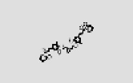 COc1cc(/C=C/C(=O)N2CCC=CC2=O)cc(C)c1OCCN(C)CCOc1c(C)cc(/C=C/C(=O)N2CCC=CC2=O)cc1OC